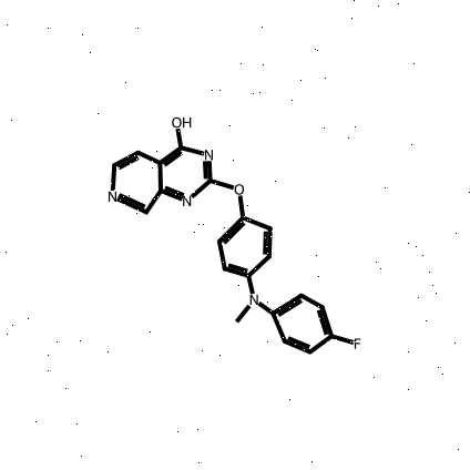 CN(c1ccc(F)cc1)c1ccc(Oc2nc(O)c3ccncc3n2)cc1